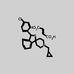 Clc1ccc(C2SC3(CCN(CC4CC4)CC3)c3ccccc32)cc1.O=C(O)C=CC(=O)O